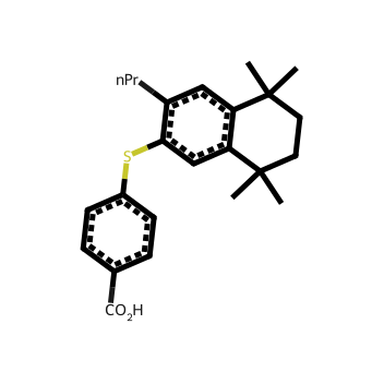 CCCc1cc2c(cc1Sc1ccc(C(=O)O)cc1)C(C)(C)CCC2(C)C